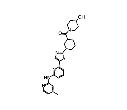 Cc1ccnc(Nc2cccc(-c3cnc(C4CCCC(C(=O)N5CCC(O)CC5)C4)s3)n2)c1